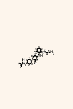 CC(C)NC[C@H]1CC[C@H](n2cc3c(nc2=O)Nc2c(OCCN)cccc2O3)CC1